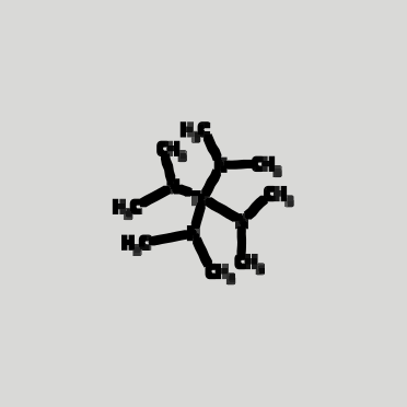 CN(C)[Te](N(C)C)(N(C)C)N(C)C